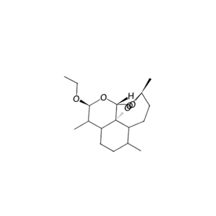 CCO[C@H]1O[C@@H]2O[C@@]3(C)CCC4C(C)CCC(C1C)[C@]42OO3